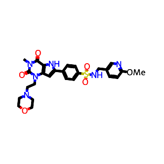 COc1ccc(CNS(=O)(=O)c2ccc(-c3cc4c([nH]3)c(=O)n(C)c(=O)n4CCN3CCOCC3)cc2)cn1